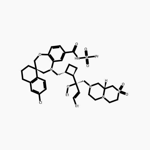 CC/C=C/[C@@](CN1CCN2CCS(=O)(=O)C[C@H]2C1)(OCC)[C@@H]1CC[C@H]1CN1C[C@@]2(CCCc3cc(Cl)ccc32)COc2ccc(C(=O)NS(=O)(=O)C(C)C)cc21